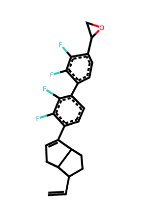 C=CC1CCC2C(c3ccc(-c4ccc(C5CO5)c(F)c4F)c(F)c3F)=CCC12